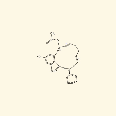 CC(=O)OC1=C\c2cc(O)cc(O)c2C(=O)O[C@H](c2ccccc2)C/C=C/CC\C=C\1